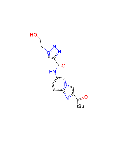 CC(C)(C)C(=O)c1cn2cc(NC(=O)c3cn(CCO)nn3)ccc2n1